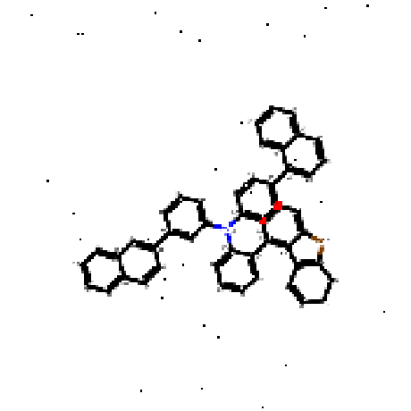 C1=Cc2c(sc3cccc(-c4ccccc4N(c4ccc(-c5cccc6ccccc56)cc4)c4cccc(-c5ccc6ccccc6c5)c4)c23)CC1